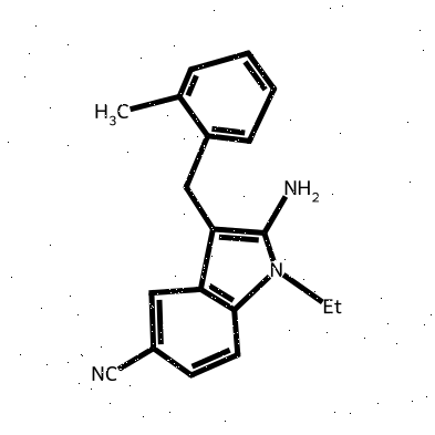 CCn1c(N)c(Cc2ccccc2C)c2cc(C#N)ccc21